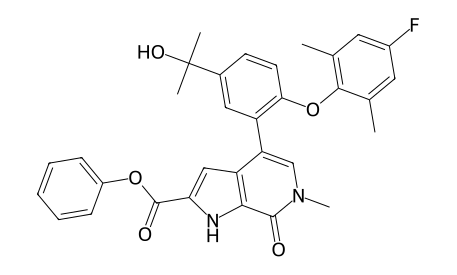 Cc1cc(F)cc(C)c1Oc1ccc(C(C)(C)O)cc1-c1cn(C)c(=O)c2[nH]c(C(=O)Oc3ccccc3)cc12